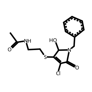 CC(=O)NCCSC1=C(Cl)C(=O)N(Cc2ccccc2)C1O